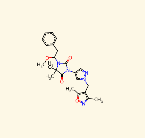 COC(Cc1ccccc1)N1C(=O)N(c2cnn(Cc3c(C)noc3C)c2)C(=O)C1(C)C